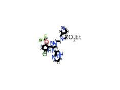 CCOC(=O)CN(CCn1cc(Nc2cnn3cccnc23)c(-c2cc(Cl)ccc2OC(F)F)n1)Cc1cccnc1